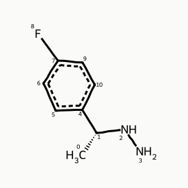 C[C@@H](NN)c1ccc(F)cc1